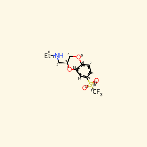 CCNC[C@H]1COc2ccc(S(=O)(=O)C(F)(F)F)cc2O1